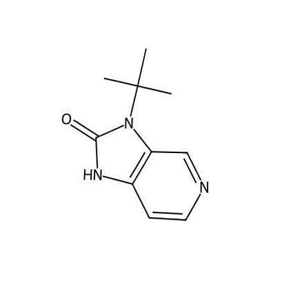 CC(C)(C)n1c(=O)[nH]c2ccncc21